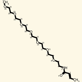 CC=CC(=O)NCCOCCOCCOCCOCCOCCOCCOC